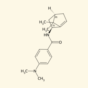 CN(C)c1ccc(C(=O)N[C@H]2C[C@H]3CC=C2C3(C)C)cc1